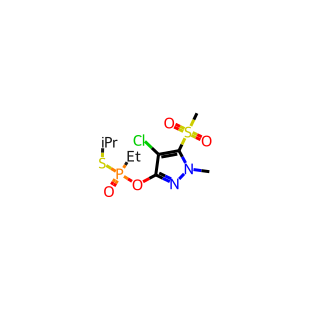 CCP(=O)(Oc1nn(C)c(S(C)(=O)=O)c1Cl)SC(C)C